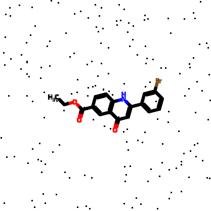 CCOC(=O)c1ccc2[nH]c(-c3cccc(Br)c3)cc(=O)c2c1